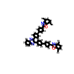 Cc1ccc(C)c2oc(-c3ccc(-c4ccc(-c5nc6ccccc6nc5-c5ccc(-c6ccc(-c7nc8c(C)ccc(C)c8o7)cc6)cc5)cc4)cc3)nc12